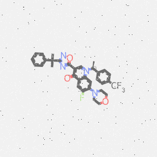 C[C@@H](c1ccc(C(F)(F)F)cc1)n1cc(-c2nc(C(C)(C)c3ccccc3)no2)c(=O)c2cc(F)c(N3CCOCC3)cc21